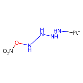 O=[N+]([O-])ONNN[NH][Pt-]